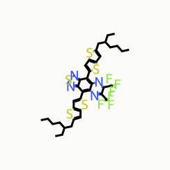 CCCCC(CC)Cc1cc2sc(-c3c4nsnc4c(-c4cc5sc(CC(CC)CCCC)cc5s4)c4nc(C(F)(F)F)c(C(F)(F)F)nc34)cc2s1